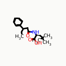 CCC(CC(=O)N[C@@H](CC(C)(C)C)C(=O)O)c1ccccc1